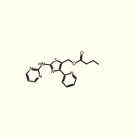 CCCC(=O)OCc1sc(Nc2ncccn2)nc1-c1ccccn1